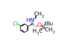 C=CN[C@H](CO[Si](C)(C)C(C)(C)C)c1cccc(Cl)c1